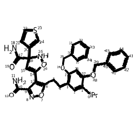 CC(C)c1cc(CCc2onc(C(N)=O)c2C2=CC(C(N)=O)(c3ccsc3)NO2)c(OCc2ccccc2)cc1OCc1ccccc1